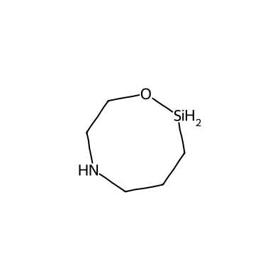 C1CNCCO[SiH2]C1